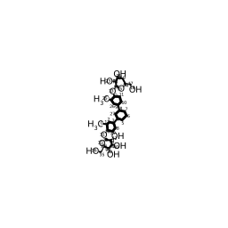 Cc1cc(-c2cccc(-c3ccc(O[C@H]4O[C@H](CO)C[C@H](O)[C@@H]4O)c(C)c3)c2)ccc1OC1O[C@H](CO)[C@@H](O)[C@H](O)[C@@H]1O